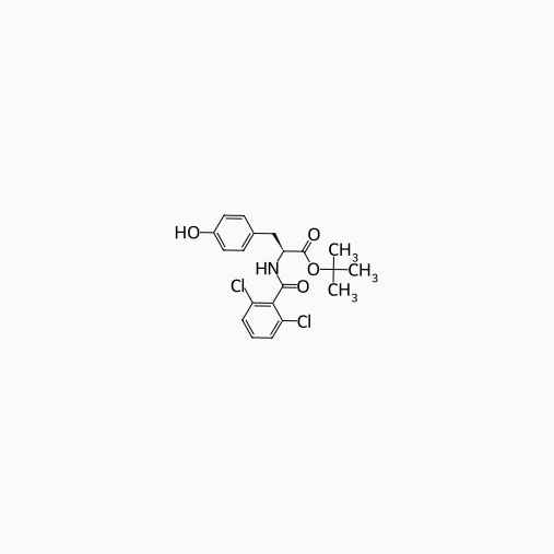 CC(C)(C)OC(=O)[C@H](Cc1ccc(O)cc1)NC(=O)c1c(Cl)cccc1Cl